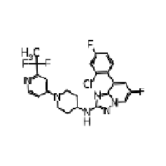 CC(F)(F)c1cc(N2CCC(Nc3nc4c(-c5ccc(F)cc5Cl)cc(F)cn4n3)CC2)ccn1